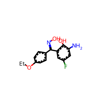 CCOc1ccc(C(=NO)c2cc(F)cc(N)c2O)cc1